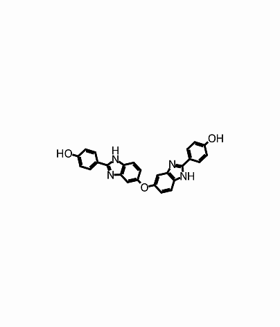 Oc1ccc(-c2nc3cc(Oc4ccc5[nH]c(-c6ccc(O)cc6)nc5c4)ccc3[nH]2)cc1